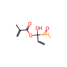 C=CC(O)(OC(=O)C(=C)C)[PH2]=O